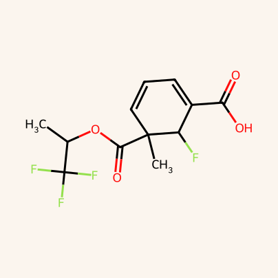 CC(OC(=O)C1(C)C=CC=C(C(=O)O)C1F)C(F)(F)F